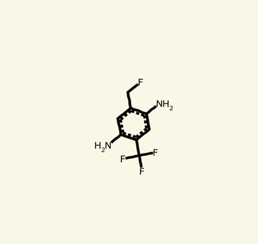 Nc1cc(C(F)(F)F)c(N)cc1CF